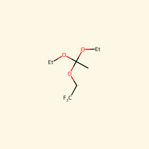 CCOC(C)(O[CH]C(F)(F)F)OCC